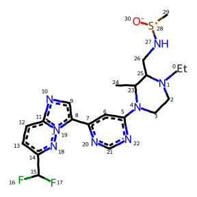 CCN1CCN(c2cc(-c3cnc4ccc(C(F)F)nn34)ncn2)C(C)C1CN[S+](C)[O-]